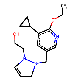 OCCN1C=CCN1Cc1cnc(OCC(F)(F)F)c(C2CC2)c1